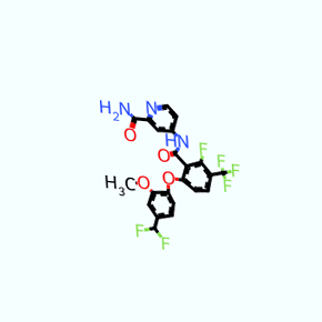 COc1cc(C(F)F)ccc1Oc1ccc(C(F)(F)F)c(F)c1C(=O)Nc1ccnc(C(N)=O)c1